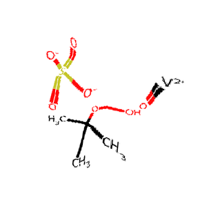 CC(C)(C)OO.O=S(=O)([O-])[O-].[O]=[V+2]